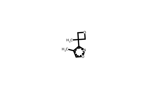 Cc1conc1C1(C)COC1